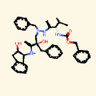 C=C(NN(Cc1ccccc1)C[C@](O)(Cc1ccccc1)C(=C)NC1c2ccccc2CC1O)[C@@H](NC(=O)OCc1ccccc1)C(C)C